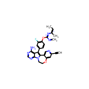 C#Cc1cc2c(cn1)-c1c(-c3ccc(O/C(N=C)=N/C(C)=C\C)c(F)c3)c3c(N)ncnc3n1CCO2